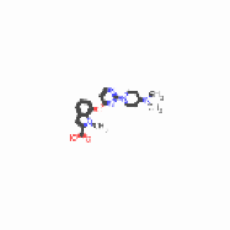 CN(C)C1CCN(c2nccc(Oc3cccc4cc(C(=O)O)n(C)c34)n2)CC1